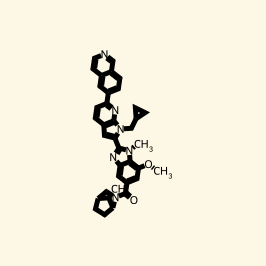 COc1cc(C(=O)N2CC3CCC2C3C)cc2nc(-c3cc4ccc(-c5ccc6cnccc6c5)nc4n3CC3CC3)n(C)c12